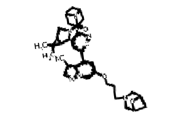 CC1(C)C2CN(C(=O)N3C4CC3CN(c3ccc(-c5cc(OCCCN6CC7CC(C6)O7)cn6ncc(C#N)c56)cn3)C4)CC21